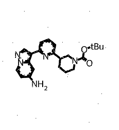 CC(C)(C)OC(=O)N1CCCC(c2cccc(-c3cnn4ccc(N)cc34)n2)C1